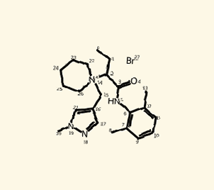 CCC(C(=O)Nc1c(C)cccc1C)[N+]1(Cc2cnn(C)c2)CCCCC1.[Br-]